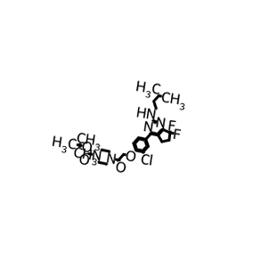 CC(C)CCNc1nc(-c2ccc(OCC(=O)N3CCN(C(=O)OC(C)(C)C)CC3)c(Cl)c2)c2c(n1)C(F)(F)CC2